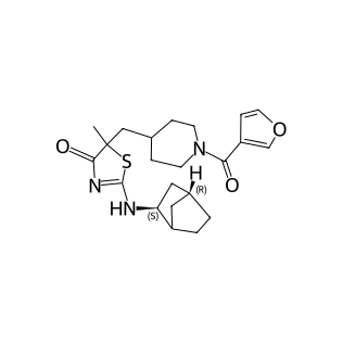 CC1(CC2CCN(C(=O)c3ccoc3)CC2)SC(N[C@H]2C[C@@H]3CCC2C3)=NC1=O